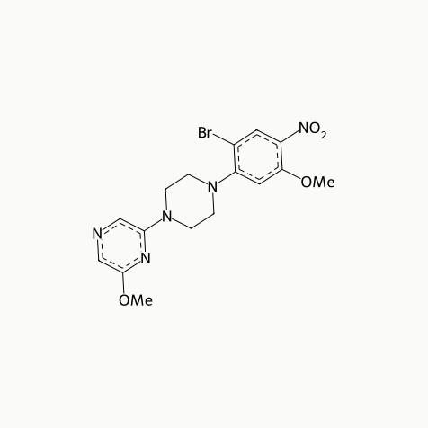 COc1cncc(N2CCN(c3cc(OC)c([N+](=O)[O-])cc3Br)CC2)n1